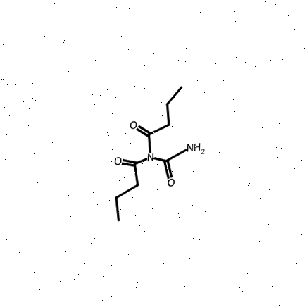 CCCC(=O)N(C(N)=O)C(=O)CCC